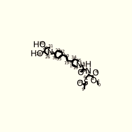 CCOC(=O)C(CSC(C)=O)NC(=O)C[n+]1ccc(/C=C/c2ccc(N3CC(O)C(O)C3)cc2)cc1